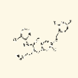 COc1cc(CN(CCN)C(=O)Nc2ccccc2Cl)ccc1OCc1ccc(F)cc1F